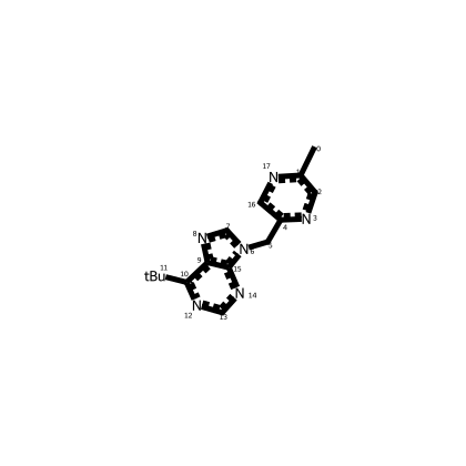 Cc1cnc(Cn2cnc3c(C(C)(C)C)ncnc32)cn1